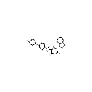 CCCCc1nc(=O)c(S(=O)(=O)c2ccc(-c3ccc(F)nc3)cc2)c(O)n1[C@H]1CCc2ccccc21